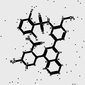 COc1ncc(-c2nc(C3CNC(C)CN3C(=O)O)c3ncccc3n2)cc1NS(=O)(=O)c1c(F)cccc1F